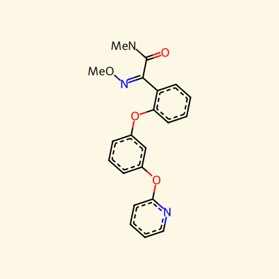 CNC(=O)C(=NOC)c1ccccc1Oc1cccc(Oc2ccccn2)c1